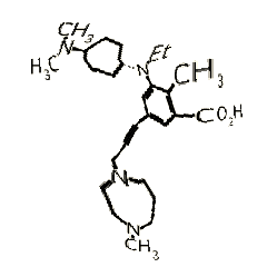 CCN(c1cc(C#CCN2CCCN(C)CC2)cc(C(=O)O)c1C)[C@H]1CC[C@H](N(C)C)CC1